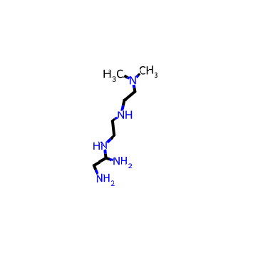 CN(C)CCNCCNC(N)CN